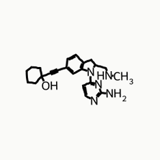 CNCC1Cc2ccc(C#CC3(O)CCCCC3)cc2N1c1ccnc(N)n1